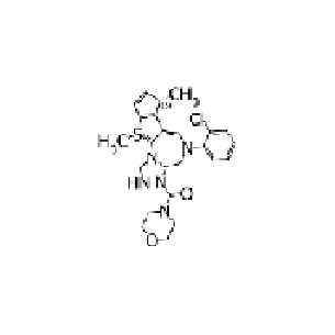 C[C@H]1C=CC2=C1C1=CN(c3ccccc3Cl)CC3N(CNN3C(=O)N3CCOCC3)C1=S2C